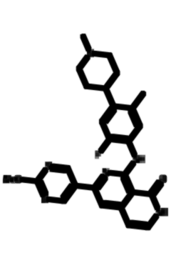 COc1ncc(-c2cc3cc[nH]c(=O)c3c(Nc3cc(C)c(C4CCN(C)CC4)cc3F)n2)cn1